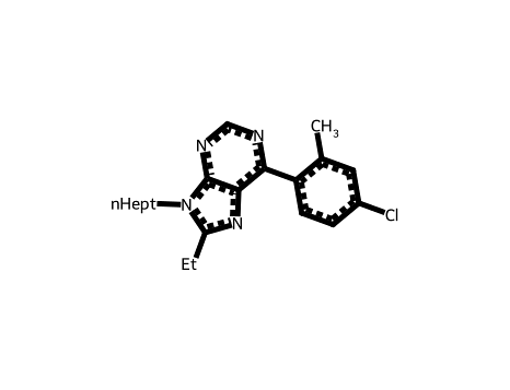 CCCCCCCn1c(CC)nc2c(-c3ccc(Cl)cc3C)ncnc21